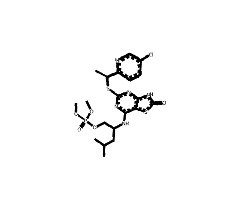 COP(=O)(OC)OCC(CC(C)C)Nc1nc(SC(C)c2ccc(Cl)cn2)nc2[nH]c(=O)sc12